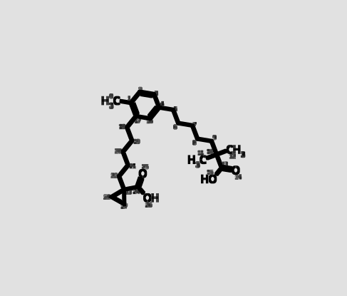 Cc1ccc(CCCCCC(C)(C)C(=O)O)cc1CCCCCC1(C(=O)O)CC1